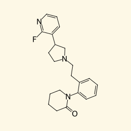 O=C1CCCCN1c1ccccc1CCN1CCC(c2cccnc2F)C1